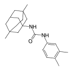 Cc1ccc(NC(=O)NC23CC4CC(C)(CC(C)(C4)C2)C3)cc1C